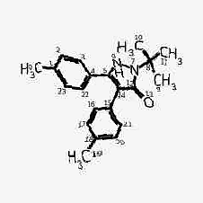 Cc1ccc(-c2[nH]n(C(C)(C)C)c(=O)c2-c2ccc(C)cc2)cc1